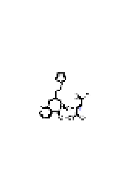 CN1CC(CCn2cccc2)Cc2ncccc2C1=O.O=C(O)/C=C/C(=O)O